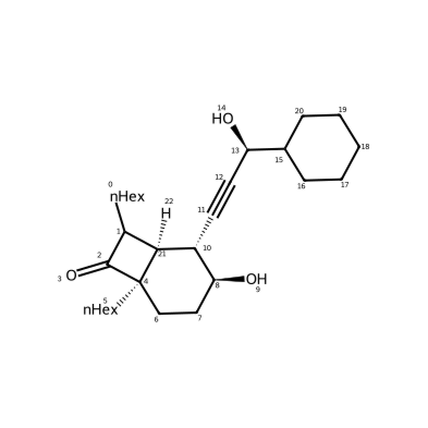 CCCCCCC1C(=O)[C@]2(CCCCCC)CC[C@H](O)[C@@H](C#C[C@@H](O)C3CCCCC3)[C@H]12